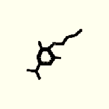 CCCCOc1c(C)cc(C(C)C)cc1C